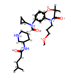 COCCCN1C(=O)C(C)(C)Oc2ccc(N(C(=O)[C@H]3CNCC(NC(=O)CCC(C)C)C3)C3CC3)cc21